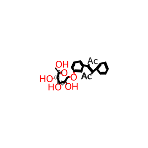 CC(=O)C(=C(C(C)=O)c1cccc(OC2O[C@H](CO)[C@@H](O)[C@H](O)[C@H]2O)c1C(C)=O)c1ccccc1